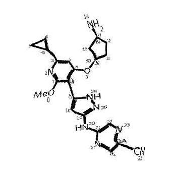 COc1nc(C2CC2)cc(O[C@@H]2CC[C@H](N)C2)c1-c1cc(Nc2cnc(C#N)cn2)n[nH]1